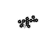 CC1(C)c2ccccc2-c2cc3c(-c4ccc(-c5nc6ccccc6n5-c5ccccc5)cc4)c4ccccc4c(-c4cccc(-c5nc6ccccc6n5-c5ccccc5)c4)c3cc21